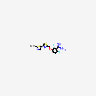 CCCc1ncc(-c2csc(COc3ccc(F)c(C(=N)N)c3F)n2)s1